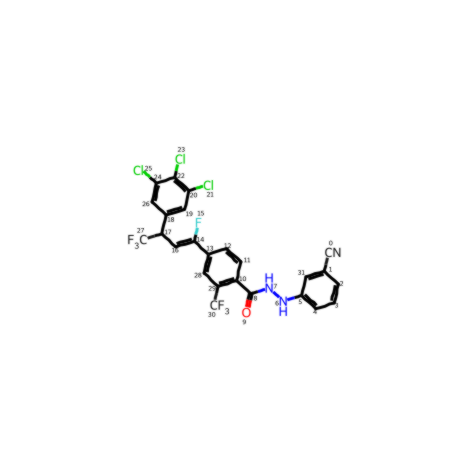 N#Cc1cccc(NNC(=O)c2ccc(/C(F)=C/C(c3cc(Cl)c(Cl)c(Cl)c3)C(F)(F)F)cc2C(F)(F)F)c1